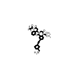 CC(C)N1C(=O)CN(C(CC(=O)OC(=O)C(F)(F)F)c2ccccc2)C(=O)c2cc(C#Cc3cccc(CN)c3)ccc21